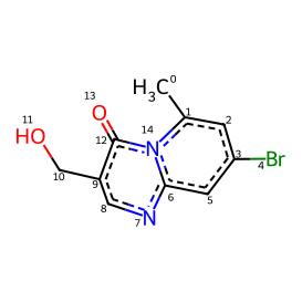 Cc1cc(Br)cc2ncc(CO)c(=O)n12